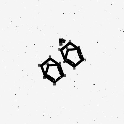 C1=C2CCC(=C1)C2.C1=C2CCC(=C1)C2.[Rh]